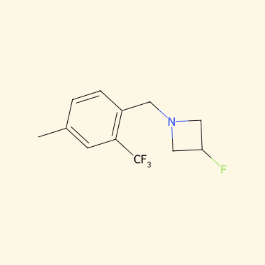 Cc1ccc(CN2CC(F)C2)c(C(F)(F)F)c1